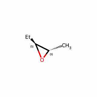 CC[C@@H]1O[C@H]1C